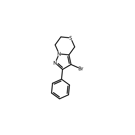 Brc1c(-c2ccccc2)nn2c1CSCC2